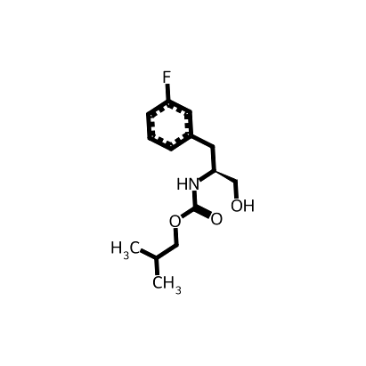 CC(C)COC(=O)N[C@H](CO)Cc1cccc(F)c1